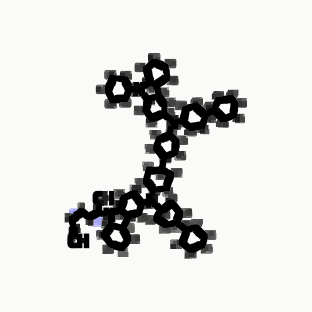 C#C/C=C\C=C(/C)n1c2ccccc2c2cc(N(c3ccc(-c4ccccc4)cc3)c3ccc(-c4ccc(N(c5ccc(-c6ccccc6)cc5)c5ccc6c(c5)c5ccccc5n6-c5ccccc5)cc4)cc3)ccc21